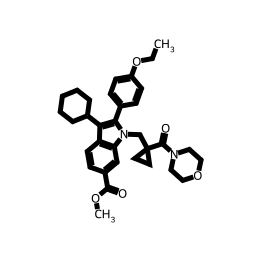 CCOc1ccc(-c2c(C3CCCCC3)c3ccc(C(=O)OC)cc3n2CC2(C(=O)N3CCOCC3)CC2)cc1